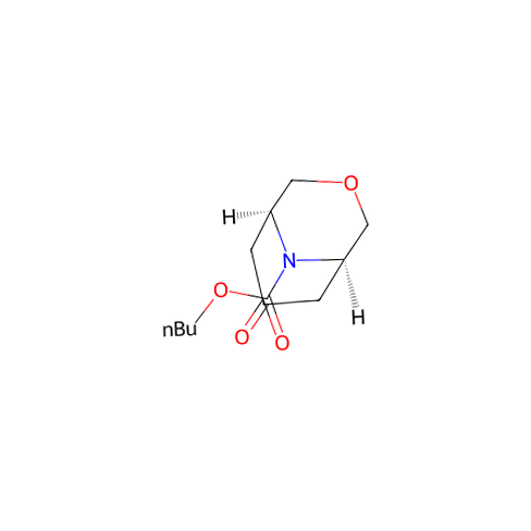 CCCCOC(=O)N1[C@@H]2COC[C@H]1CC(=O)C2